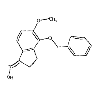 COc1ccc2c(c1OCc1ccccc1)CCC2=NO